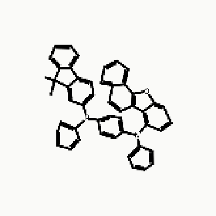 CC1(C)c2ccccc2-c2ccc(N(c3ccccc3)c3ccc(N(c4ccccc4)c4cccc5oc6c7ccccc7ccc6c45)cc3)cc21